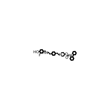 O=C(Nc1ccccc1-c1ccccc1)OC1CCN(CCc2ccc(CCNCc3ccc(O)c(F)c3)cc2)CC1